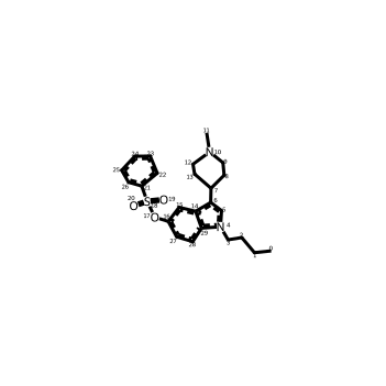 CCCCn1cc(C2CCN(C)CC2)c2cc(OS(=O)(=O)c3ccccc3)ccc21